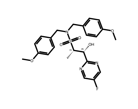 COc1ccc(CN(Cc2ccc(OC)cc2)S(=O)(=O)[C@@H](C)[C@H](O)c2ncc(F)cn2)cc1